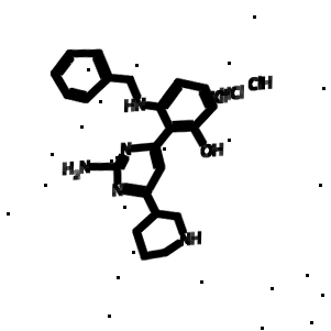 Cl.Cl.Cl.Nc1nc(-c2c(O)cccc2NCc2ccccc2)cc(C2CCCNC2)n1